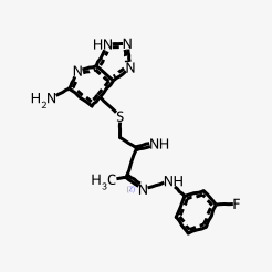 C/C(=N/Nc1cccc(F)c1)C(=N)CSc1cc(N)nc2[nH]nnc12